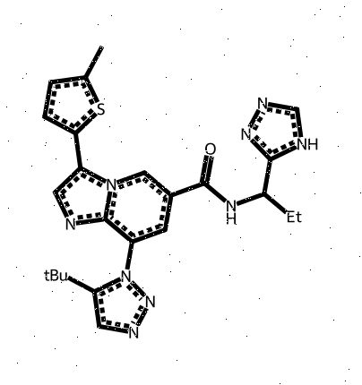 CCC(NC(=O)c1cc(-n2nncc2C(C)(C)C)c2ncc(-c3ccc(C)s3)n2c1)c1nnc[nH]1